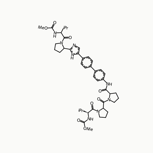 COC(=O)NC(C(=O)N1CCCC1c1ncc(-c2ccc(-c3ccc(NC(=O)C4CCCN4C(=O)C4CCCN4C(=O)[C@@H](NC(=O)OC)C(C)C)cc3)cc2)[nH]1)C(C)C